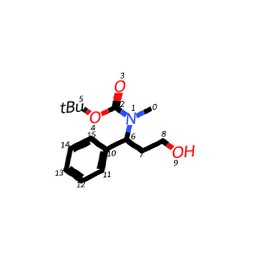 CN(C(=O)OC(C)(C)C)C(CCO)c1ccccc1